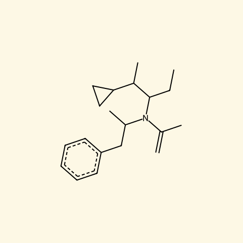 C=C(C)N(C(C)Cc1ccccc1)C(CC)C(C)C1CC1